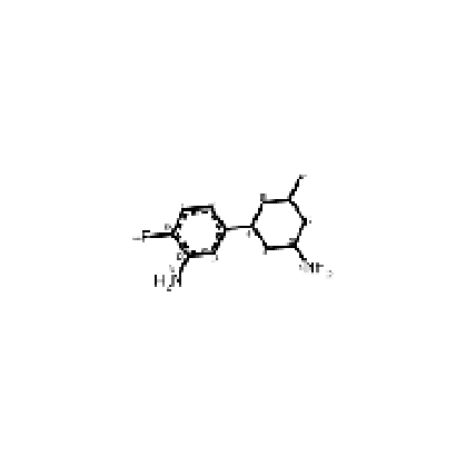 CC1CC(N)CC(c2ccc(F)c(N)c2)C1